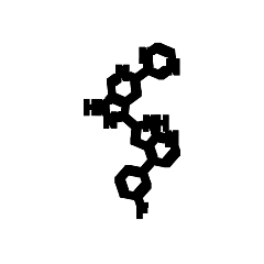 Fc1cccc(-c2ccnc3[nH]c(-c4n[nH]c5cnc(-c6cnccn6)cc45)cc23)c1